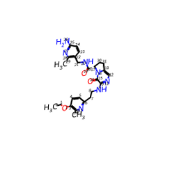 CCOc1ccc(CCNc2ncc3n(c2=O)[C@H](C(=O)NCc2ccc(N)nc2C)CC3)nc1C